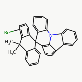 CC1(C)c2ccccc2C2(c3ccccc3-n3c4ccccc4c4cccc2c43)c2cccc(Br)c21